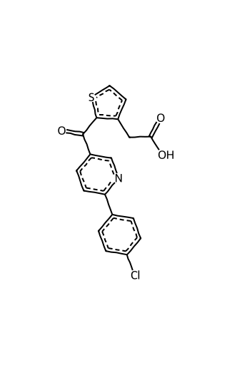 O=C(O)Cc1ccsc1C(=O)c1ccc(-c2ccc(Cl)cc2)nc1